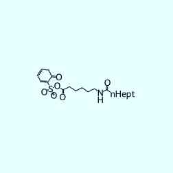 CCCCCCCC(=O)NCCCCCC(=O)OS(=O)(=O)C1=CC=CCC1=O